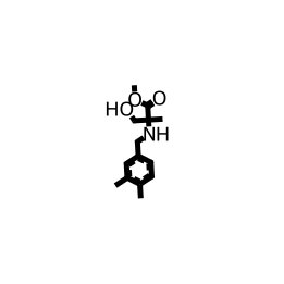 COC(=O)C(C)(CO)NCc1ccc(C)c(C)c1